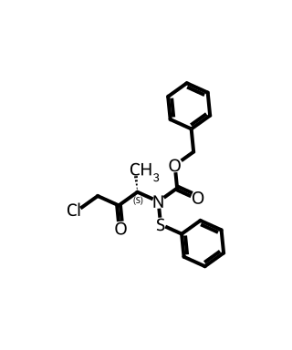 C[C@@H](C(=O)CCl)N(Sc1ccccc1)C(=O)OCc1ccccc1